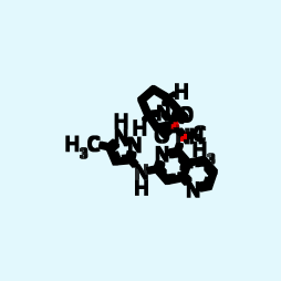 CCS(=O)(=O)N1[C@@H]2CC[C@H]1C[C@H](Nc1nc(Nc3cc(C)[nH]n3)cc3ncccc13)C2